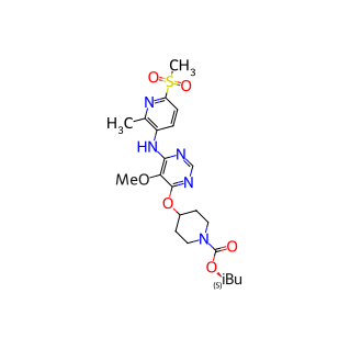 CC[C@H](C)OC(=O)N1CCC(Oc2ncnc(Nc3ccc(S(C)(=O)=O)nc3C)c2OC)CC1